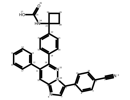 N#Cc1ccc(-c2cnc3cc(-c4ccccc4)c(-c4ccc(C5(NC(=O)O)CCC5)cc4)nn23)cc1